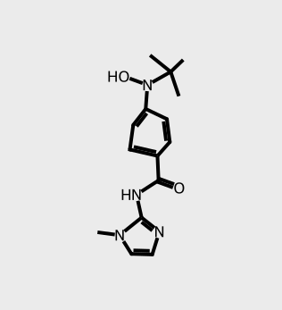 Cn1ccnc1NC(=O)c1ccc(N(O)C(C)(C)C)cc1